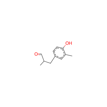 Cc1cc(CC(C)C=O)ccc1O